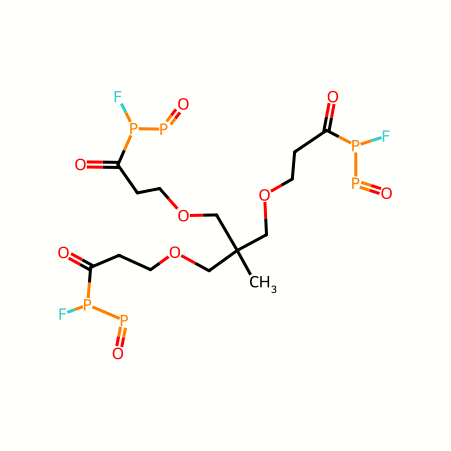 CC(COCCC(=O)P(F)P=O)(COCCC(=O)P(F)P=O)COCCC(=O)P(F)P=O